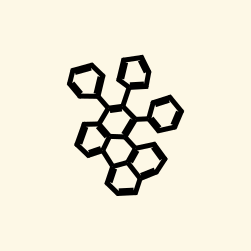 c1ccc(-c2c(-c3ccccc3)c3cccc4c5cccc6cccc(c(c2-c2ccccc2)c34)c65)cc1